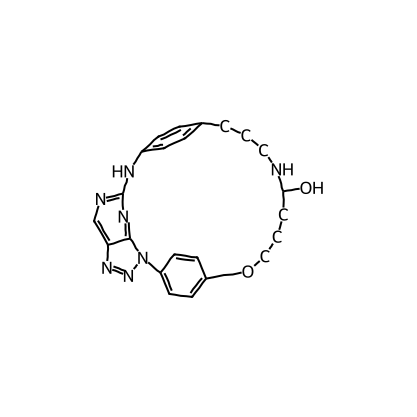 OC1CCCOc2ccc(cc2)-n2nnc3cnc(nc32)Nc2ccc(cc2)CCCN1